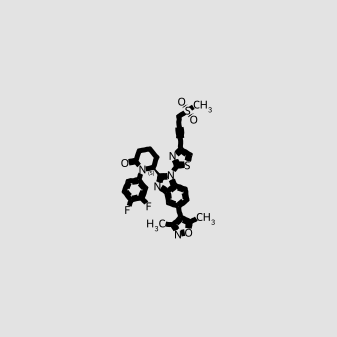 Cc1noc(C)c1-c1ccc2c(c1)nc([C@@H]1CCCC(=O)N1c1ccc(F)c(F)c1)n2-c1nc(C#CCS(C)(=O)=O)cs1